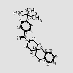 CC(C)(C)c1ccc(C(=O)N2CCC3(CCc4ccccc4C3)CC2)cc1